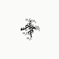 C=CCCC(=O)C(=O)C(CCC)CC(=O)C1C2C(CN1C(=O)C(NC(=O)OCC(C)C)C1CCCC(C(=O)NCC3CC3)C1)C2(C)C